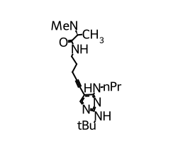 CCCNc1nc(NC(C)(C)C)ncc1C#CCCCNC(=O)[C@H](C)NC